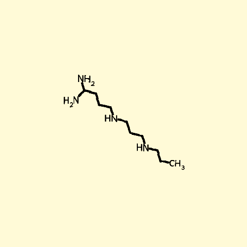 CCCNCCCNCCCC(N)N